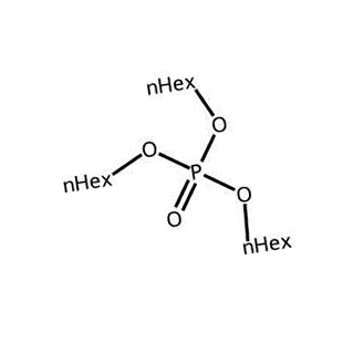 CCCCCCOP(=O)(OCCCCCC)OCCCCCC